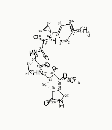 Cc1ccc(C2(NC(=O)C(=O)N[C@@H](CC(C)C)C(=O)N[C@@H](C[C@@H]3CCNC3=O)C(=O)COC(F)(F)F)CC2)cc1